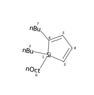 CCCCCCCC[Si]1(CCCC)C=CC=C1CCCC